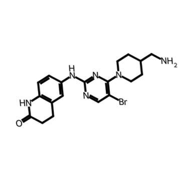 NCC1CCN(c2nc(Nc3ccc4c(c3)CCC(=O)N4)ncc2Br)CC1